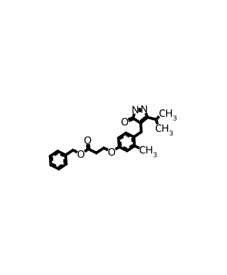 Cc1cc(OCCC(=O)OCc2ccccc2)ccc1CC1=C(C(C)C)N=NC1=O